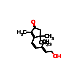 CC1=C(/C=C\C(C)=C\CO)C(C)(C)CC1=O